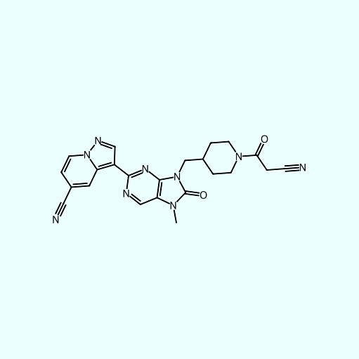 Cn1c(=O)n(CC2CCN(C(=O)CC#N)CC2)c2nc(-c3cnn4ccc(C#N)cc34)ncc21